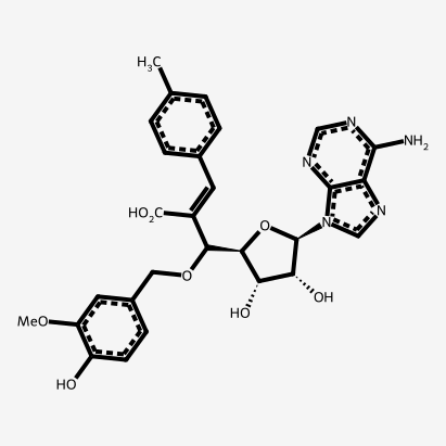 COc1cc(COC(C(=Cc2ccc(C)cc2)C(=O)O)[C@H]2O[C@@H](n3cnc4c(N)ncnc43)[C@H](O)[C@@H]2O)ccc1O